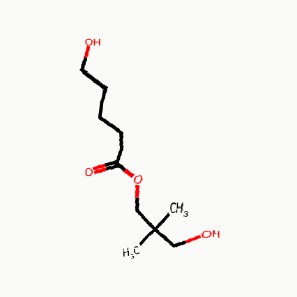 CC(C)(CO)COC(=O)CCCCO